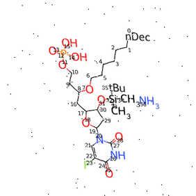 CCCCCCCCCCCCCCCCOC(CCOP(=O)(O)O)CC1OC(n2cc(F)c(=O)[nH]c2=O)CC1O[Si](C)(C)C(C)(C)C.N